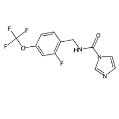 O=C(NCc1ccc(OC(F)(F)F)cc1F)n1ccnc1